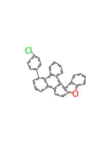 Clc1ccc(-c2cccc3c4ccc5oc6ccccc6c5c4c4ccccc4c23)cc1